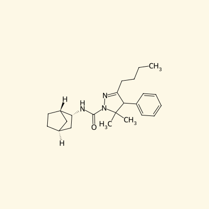 CCCCC1=NN(C(=O)N[C@@H]2C[C@H]3CC[C@H]2C3)C(C)(C)C1c1ccccc1